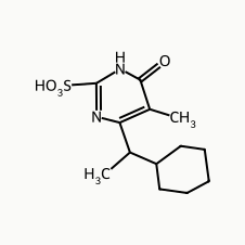 Cc1c(C(C)C2CCCCC2)nc(S(=O)(=O)O)[nH]c1=O